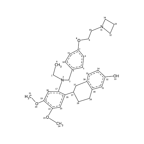 CCN(Cc1ccc(OCCN2CCC2)cc1)c1cc(OC)c(OC)cc1C1CCc2cc(O)ccc2C1